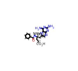 CNN(C(=O)c1ccccc1)[C@](CCC(=O)O)(Cc1cnc2nc(N)nc(N)c2n1)C(=O)O